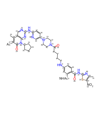 CC(=O)Nc1cc(NCCCCC(=O)N2CCN(c3ccc(Nc4ncc5c(C)c(C(C)=O)c(=O)n(C6CCCC6)c5n4)nc3)CC2)ccc1C(=O)Nc1nc(C)c([N+](=O)[O-])s1